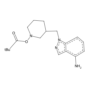 CC(C)(C)C(=O)ON1CCCC(Cn2ncc3c(N)cccc32)C1